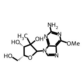 COc1nc(N)nc2c1ncn2C1O[C@H](CO)[C@H](O)C1(C)O